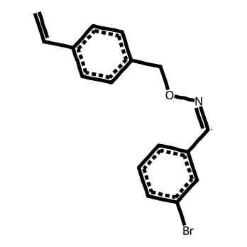 C=Cc1ccc(CO/N=[C]\c2cccc(Br)c2)cc1